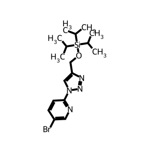 CC(C)[Si](OCc1cn(-c2ccc(Br)cn2)nn1)(C(C)C)C(C)C